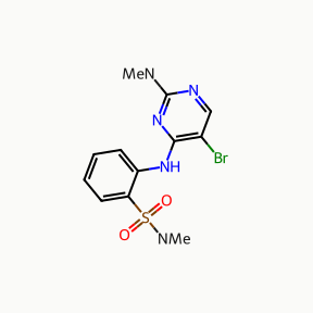 CNc1ncc(Br)c(Nc2ccccc2S(=O)(=O)NC)n1